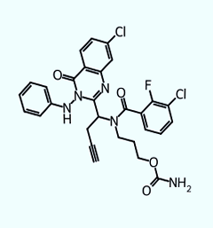 C#CCC(c1nc2cc(Cl)ccc2c(=O)n1Nc1ccccc1)N(CCCOC(N)=O)C(=O)c1cccc(Cl)c1F